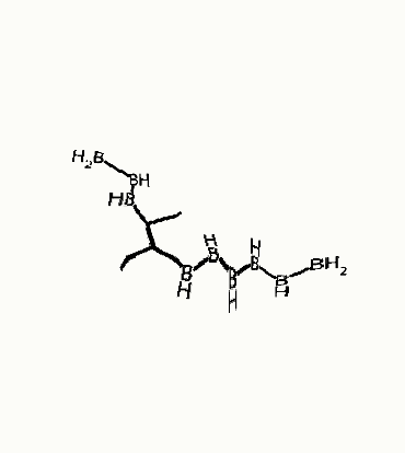 BBBBBBC(C)C(C)BBB